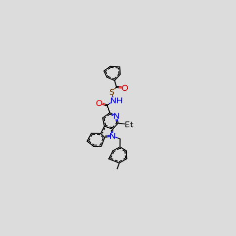 CCc1nc(C(=O)NSC(=O)c2ccccc2)cc2c3ccccc3n(Cc3ccc(C)cc3)c12